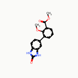 COC(=O)c1cccc(-c2ccc3[nH]c(=O)[nH]c3c2)c1OC